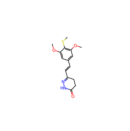 COc1cc(C=CC2=NNC(=O)CC2)cc(OC)c1SC